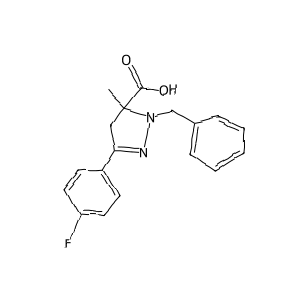 CC1(C(=O)O)CC(c2ccc(F)cc2)=NN1Cc1ccccc1